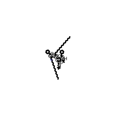 CCCCCCCCCCCCC/C=C/[C@@H](OC(=O)c1ccccc1)[C@H](CO[C@@H]1O[C@H](CO[Si](C)(C)C(C)(C)C)[C@H](OC(C)=O)[C@H](O)[C@H]1OC(=O)c1ccccc1)NC(=O)CCCCCCCCCCCCCCC